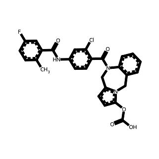 Cc1ccc(F)cc1C(=O)Nc1ccc(C(=O)N2Cc3ccc(OC(=O)O)n3Cc3ccccc32)c(Cl)c1